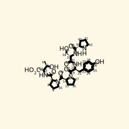 C[C@@H](O)[C@H](NC(=O)[C@@H]1CCCN1C(=O)[C@@H]1CCCN1C(=O)[C@H](Cc1ccc(O)cc1)NC(=O)[C@H](CO)NC(=O)[C@@H]1CCCN1)C(=O)O